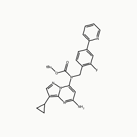 CC(C)(C)OC(=O)N(Cc1ccc(-c2ccccn2)cc1F)c1cc(N)nc2c(C3CC3)cnn12